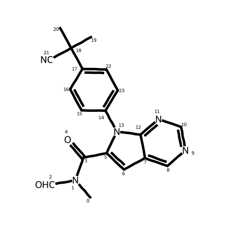 CN(C=O)C(=O)c1cc2cncnc2n1-c1ccc(C(C)(C)C#N)cc1